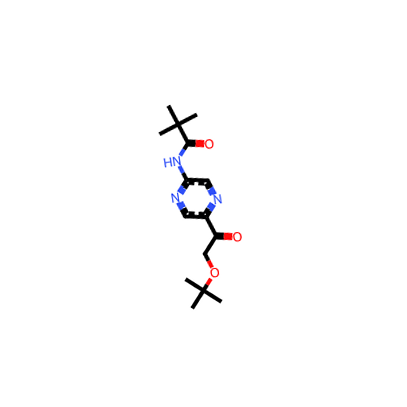 CC(C)(C)OCC(=O)c1cnc(NC(=O)C(C)(C)C)cn1